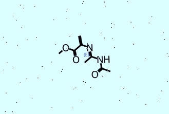 C=C(/N=C(\C)NC(C)=O)C(=O)OC